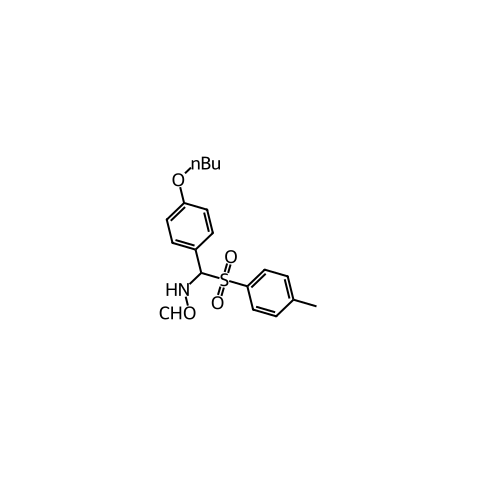 CCCCOc1ccc(C(NC=O)S(=O)(=O)c2ccc(C)cc2)cc1